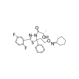 C[C@H](O)C(=O)N1N=C(c2cc(F)ccc2F)SC1(CCON=C1CCCCC1)c1ccccc1